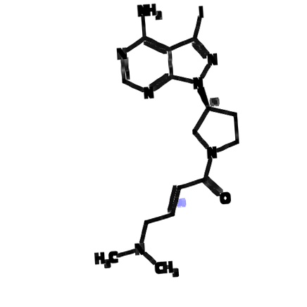 CN(C)C/C=C/C(=O)N1CC[C@H](n2nc(I)c3c(N)ncnc32)C1